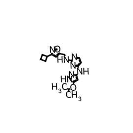 CC(C)Oc1cc(Nc2ccnc(NCc3cc(C4CCC4)no3)n2)n[nH]1